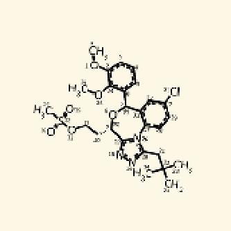 COc1cccc([C@@H]2O[C@@H](CCOS(C)(=O)=O)c3nnc(CC(C)(C)C)n3-c3ccc(Cl)cc32)c1OC